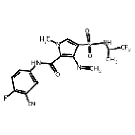 C=Nc1c(S(=O)(=O)N[C@H](C)C(F)(F)F)cn(C)c1C(=O)Nc1ccc(F)c(C#N)c1